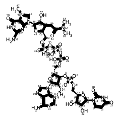 CO[C@@H]1[C@H](OP(=O)([O-])OC[C@H]2O[C@@H](n3ccc(=O)[nH]c3=O)[C@H](O)[C@@H]2O)[C@@H](COP(=O)(O)OP(=O)(O)OP(O)(=S)OC[C@H]2O[C@@H](n3c[n+](C)c4c(=O)[nH]c(N)nc43)[C@H](O)C2CC(=O)N(C)C)O[C@H]1n1cnc2c(N)ncnc21